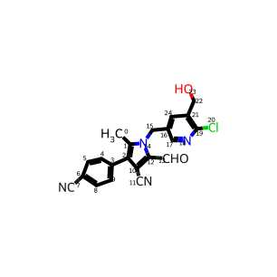 Cc1c(-c2ccc(C#N)cc2)c(C#N)c(C=O)n1Cc1cnc(Cl)c(CO)c1